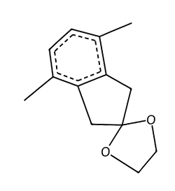 Cc1ccc(C)c2c1CC1(C2)OCCO1